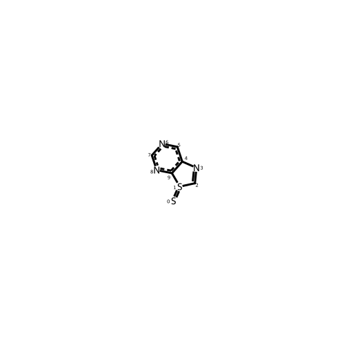 S=S1C=Nc2cncnc21